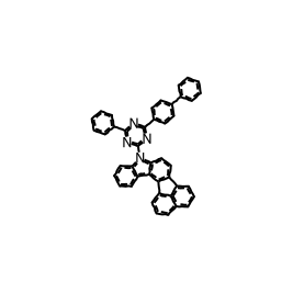 c1ccc(-c2ccc(-c3nc(-c4ccccc4)nc(-n4c5ccccc5c5c6c(ccc54)-c4cccc5cccc-6c45)n3)cc2)cc1